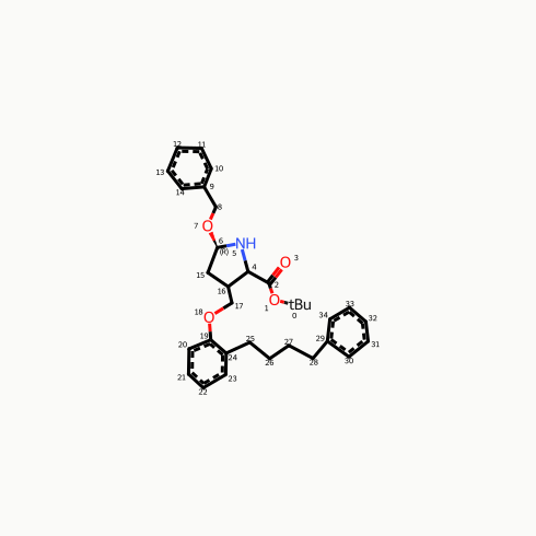 CC(C)(C)OC(=O)C1N[C@H](OCc2ccccc2)CC1COc1ccccc1CCCCc1ccccc1